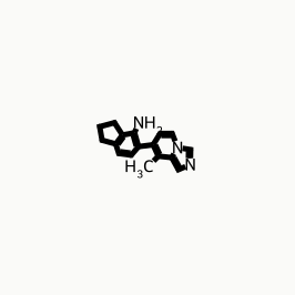 Cc1c(-c2ccc3c(c2N)CCC3)ccn2cncc12